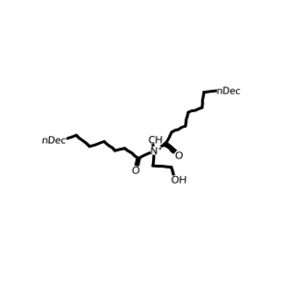 CCCCCCCCCCCCCCCC(=O)[N+](C)(CCO)C(=O)CCCCCCCCCCCCCCC